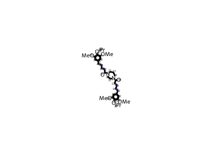 COc1cc(/C=C/C=C/C(=O)N2CCCN(C(=O)/C=C/C=C/c3cc(OC)c(OC(C)C)c(OC)c3)CC2)cc(OC)c1OC(C)C